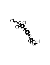 CC(=O)Nc1cc(COc2ccc(C(C)(C)c3cc(Cl)c(OCCCCl)c(Cl)c3)cc2)on1